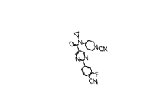 N#Cc1ccc(-c2ncc(C(=O)N(C3CC3)C3CCN(C#N)CC3)cn2)cc1F